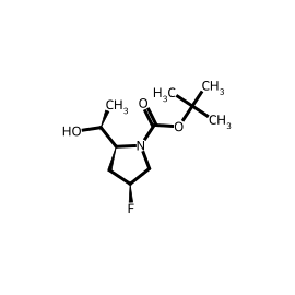 C[C@H](O)[C@@H]1C[C@H](F)CN1C(=O)OC(C)(C)C